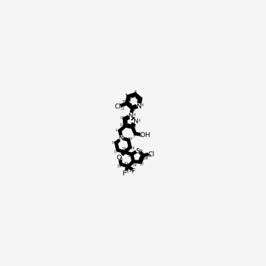 OCc1nn(-c2ncccc2Cl)cc1CN1CCC2(CC1)OCC(F)(F)C1C=C(Cl)SC12